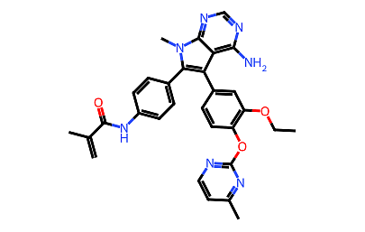 C=C(C)C(=O)Nc1ccc(-c2c(-c3ccc(Oc4nccc(C)n4)c(OCC)c3)c3c(N)ncnc3n2C)cc1